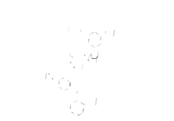 Cc1cc(O)cc(C)c1CC(N)C(=O)NC1CCNc2ccc(Oc3c(Cl)cccc3Cl)cc21